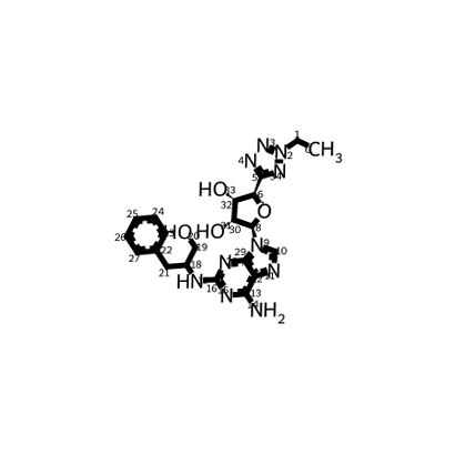 CCn1nnc([C@H]2O[C@@H](n3cnc4c(N)nc(NC(CO)Cc5ccccc5)nc43)[C@H](O)[C@@H]2O)n1